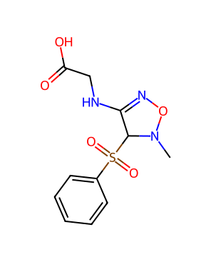 CN1ON=C(NCC(=O)O)C1S(=O)(=O)c1ccccc1